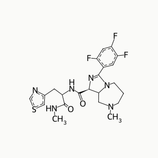 CNC(=O)C(Cc1cscn1)NC(=O)[C@H]1N=C(c2cc(F)c(F)cc2F)N2CCCN(C)CC12